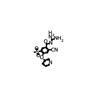 CS(=O)(=O)c1cc(C(=O)N=C(N)N)c(C#N)cc1Oc1cccnc1